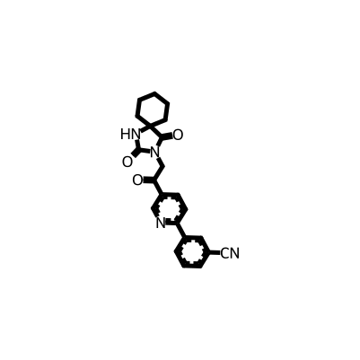 N#Cc1cccc(-c2ccc(C(=O)CN3C(=O)NC4(CCCCC4)C3=O)cn2)c1